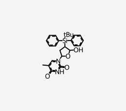 Cc1cn(C2CC([Si](c3ccccc3)(c3ccccc3)C(C)(C)C)C(O)O2)c(=O)[nH]c1=O